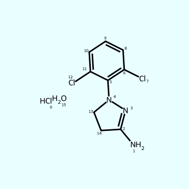 Cl.NC1=NN(c2c(Cl)cccc2Cl)CC1.O